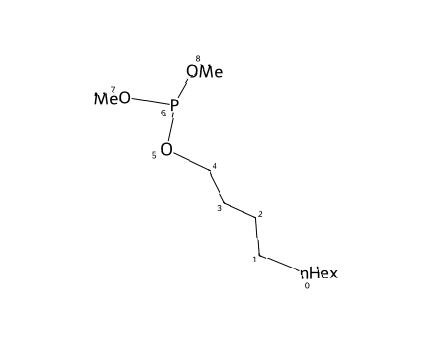 CCCCCCCCCCOP(OC)OC